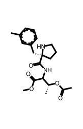 COC(=O)C(NC(=O)[C@]1(Cc2cccc(C)c2)CCCN1)[C@@H](C)OC(C)=O